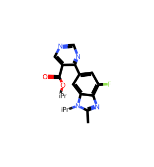 Cc1nc2c(F)cc(-c3ncncc3C(=O)OC(C)C)cc2n1C(C)C